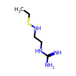 CCSNCCNC(=N)N